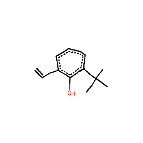 C=Cc1cccc(C(C)(C)C)c1O